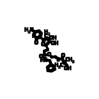 CC(C)(CO)C(=O)SCCOP(=O)(CC[C@H]1O[C@@H](n2ccc(N)nc2=O)C(C)(O)[C@H]1O)NCc1ccccc1